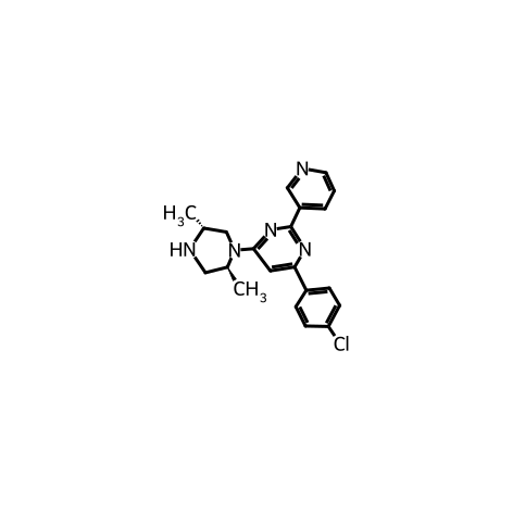 C[C@@H]1CN(c2cc(-c3ccc(Cl)cc3)nc(-c3cccnc3)n2)[C@@H](C)CN1